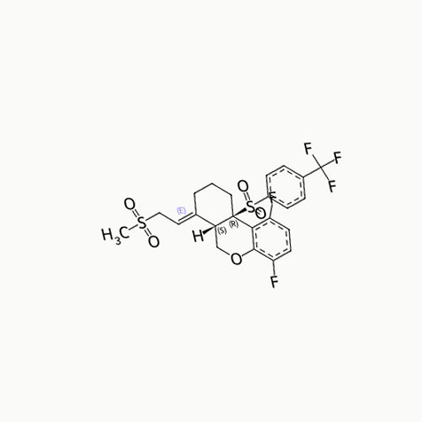 CS(=O)(=O)C/C=C1\CCC[C@]2(S(=O)(=O)c3ccc(C(F)(F)F)cc3)c3c(F)ccc(F)c3OC[C@H]12